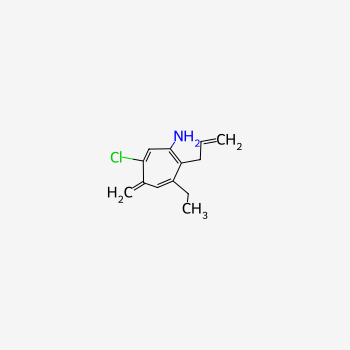 C=CCC1=C(N)C=C(Cl)C(=C)C=C1CC